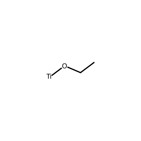 CC[O][Ti]